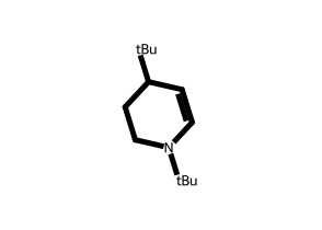 CC(C)(C)C1C=CN(C(C)(C)C)CC1